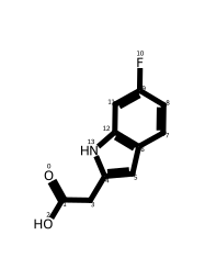 O=C(O)Cc1cc2ccc(F)cc2[nH]1